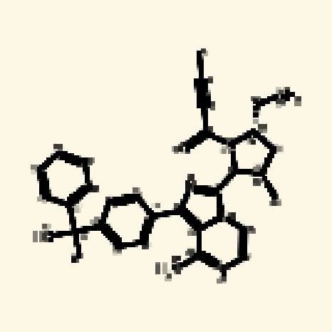 CC#CC(=O)N1C(c2nc(-c3ccc(C(C)(O)c4ccccc4)cc3)c3c(N)nccn23)[C@H](C)C[C@H]1CN